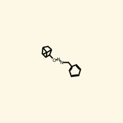 CC1(C)C2CC[C](ON=NCc3ccccc3)C1C2